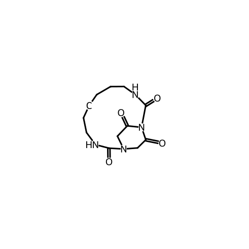 O=C1NCCCCCCNC(=O)N2C(=O)CN1CC2=O